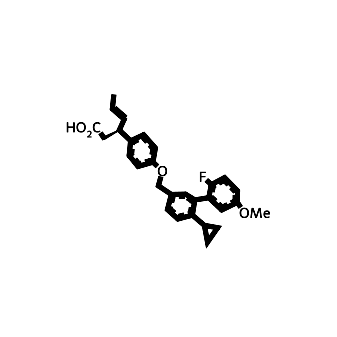 C/C=C/[C@H](CC(=O)O)c1ccc(OCc2ccc(C3CC3)c(-c3cc(OC)ccc3F)c2)cc1